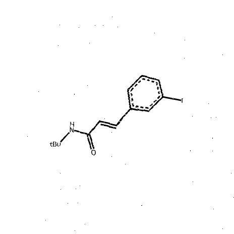 CC(C)(C)NC(=O)C=Cc1cccc(I)c1